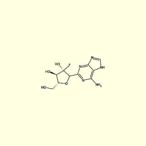 Nc1nc(C2O[C@H](CO)[C@@H](O)[C@@]2(O)F)nc2nc[nH]c12